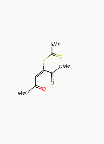 COC(=O)/C=C(/SC(=S)SC)C(=O)OC